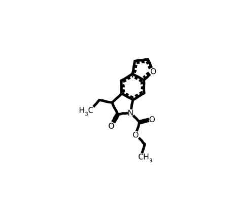 CCOC(=O)N1C(=O)C(CC)c2cc3ccoc3cc21